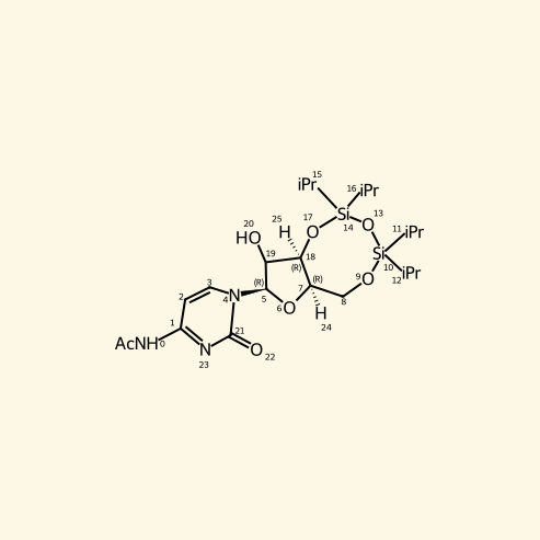 CC(=O)Nc1ccn([C@@H]2O[C@@H]3CO[Si](C(C)C)(C(C)C)O[Si](C(C)C)(C(C)C)O[C@@H]3C2O)c(=O)n1